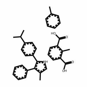 Cc1c(C(=O)O)cccc1C(=O)O.Cc1c[nH]c(-c2ccc(C(C)C)cc2)c1-c1ccccc1.Cc1ccccc1